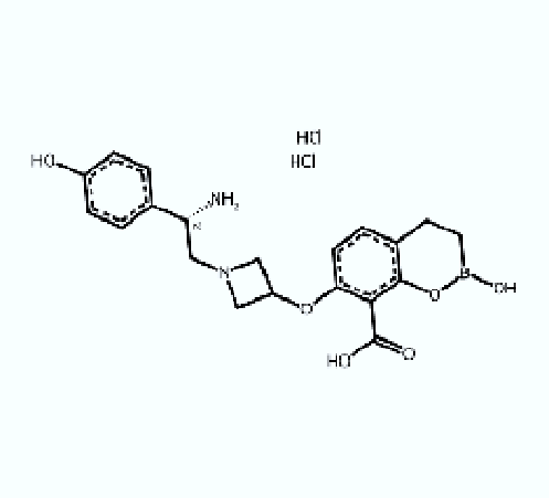 Cl.Cl.N[C@H](CN1CC(Oc2ccc3c(c2C(=O)O)OB(O)CC3)C1)c1ccc(O)cc1